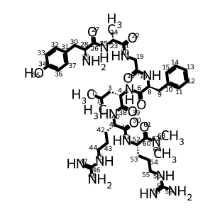 CC(C)C[C@H](NC(=O)[C@H](Cc1ccccc1)NC(=O)CNC(=O)[C@@H](C)NC(=O)[C@@H](N)Cc1ccc(O)cc1)C(=O)N[C@@H](CCCNC(=N)N)C(=O)N[C@@H](CCCNC(=N)N)C(=O)N(C)C